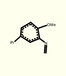 C=Nc1cc(C(C)C)ccc1OC